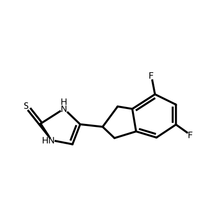 Fc1cc(F)c2c(c1)CC(c1c[nH]c(=S)[nH]1)C2